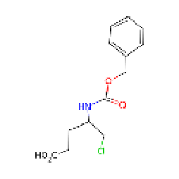 O=C(O)CCC(CCl)NC(=O)OCc1ccccc1